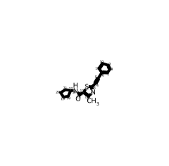 Cc1nc(C#Cc2ccccc2)sc1C(=O)NC1CCCC1